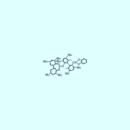 Cc1c(C(C)(C)C)cc(C(C)(C)C)c(OP2Oc3ccccc3O2)c1-c1c(C)c(C(C)(C)C)cc(C(C)(C)C)c1Op1oc2c(C(C)(C)C)cc(C(C)(C)C)cc2c2cc(C(C)(C)C)cc(C(C)(C)C)c2o1